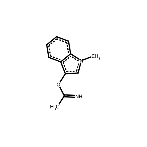 CC(=N)Oc1cn(C)c2ccccc12